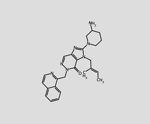 C/C=C(\C)Cn1c(N2CCCC(N)C2)nc2cnn(Cc3nccc4ccccc34)c(=O)c21